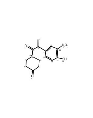 C=C(C(=O)N1CCC(=O)CC1)c1ccc(S)c([N+](=O)[O-])c1